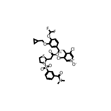 CN(C)C(=O)c1cccc(S(=O)(=O)N2CCSC2CC(=O)O[C@@H](Cc2c(Cl)c[n+]([O-])cc2Cl)c2ccc(OC(F)F)c(OCC3CC3)c2)c1